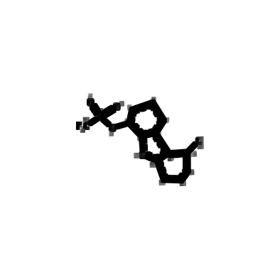 O=S(=O)(Oc1cccc2c1oc1cccc(Cl)c12)C(F)(F)F